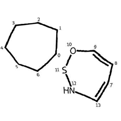 C1CCCCCC1.c1ccos[nH]c1